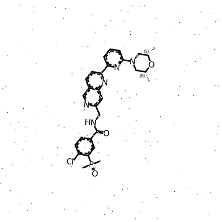 C[C@@H]1CN(c2cccc(-c3ccc4cnc(CNC(=O)c5ccc(Cl)c(P(C)(C)=O)c5)cc4n3)n2)C[C@H](C)O1